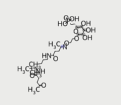 CC(=O)CCC(=O)N[C@@H](CCCCNC(=O)CC/C(C)=N/OCCO[C@H]1O[C@H](CCP(=O)(O)O)[C@@H](O)[C@H](O)[C@@H]1O)C(C)(C)C